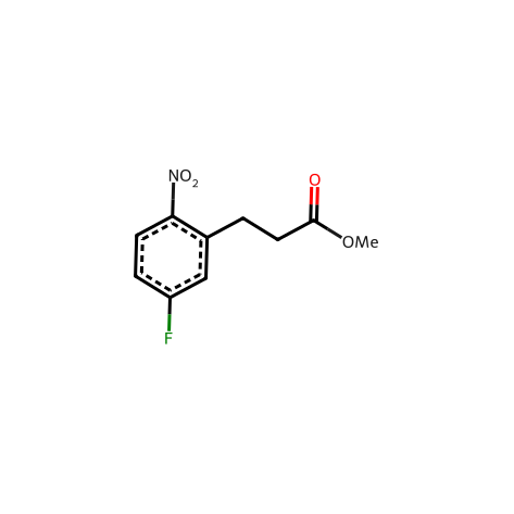 COC(=O)CCc1cc(F)ccc1[N+](=O)[O-]